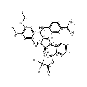 CCOc1cc(C(Nc2ccc(C(=N)N)cc2)c2nn(-c3ccccc3C(=O)OC(=O)C(F)(F)F)c(=O)[nH]2)c(F)cc1OC